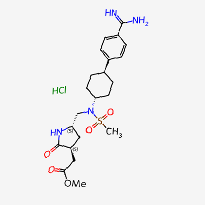 COC(=O)C[C@@H]1C[C@@H](CN([C@H]2CC[C@H](c3ccc(C(=N)N)cc3)CC2)S(C)(=O)=O)NC1=O.Cl